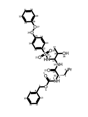 CC(C)C[C@H](NC(=O)OCc1ccccc1)C(=O)NC(NS(=O)(=O)c1ccc(OOc2ccccc2)cc1)C(C)O